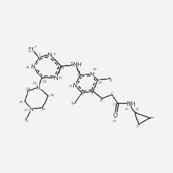 CCc1nc(Nc2nc(C)c(CCC(=O)NC3CC3)c(C)n2)nc(N2CCN(C)CC2)n1